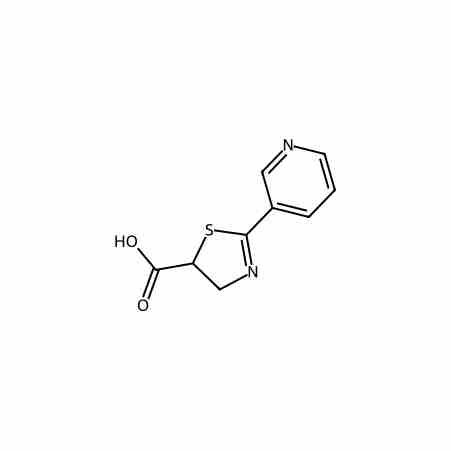 O=C(O)C1CN=C(c2cccnc2)S1